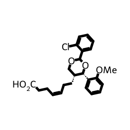 COc1ccccc1[C@H]1OC(c2ccccc2Cl)OC[C@H]1CC/C=C\CCC(=O)O